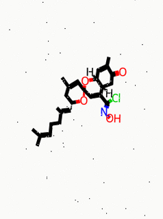 CC(C)=CCC/C(C)=C/[C@@H]1CC(C)=C[C@]2(C=C(/C(Cl)=N/O)[C@H]3CC(=O)C(C)=C[C@H]3O2)O1